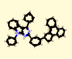 c1ccc(-c2nc(-c3cccc(-c4ccc5c6ccccc6c6ccccc6c5c4)c3)nc3c2c2ccccc2n3-c2ccccc2)cc1